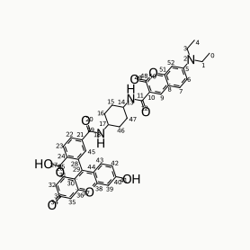 CCN(CC)c1ccc2cc(C(=O)NC3CCC(NC(=O)c4ccc(C(=O)O)c(-c5c6ccc(=O)cc-6oc6cc(O)ccc56)c4)CC3)c(=O)oc2c1